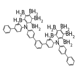 BC1=C(B)C(B)C(B)C(N(c2ccc(-c3ccccc3)cc2)c2ccc(-c3cccc(C4=CCC(N(c5ccc(-c6ccccc6)cc5)c5c(B)c(B)c(B)c(B)c5B)C=C4)c3)cc2)=C1B